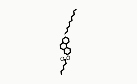 CCCCCCCCCC[C@@H]1CCC2C(CCC3C[C@H](OC(=O)CCCCC)CCC32)C1